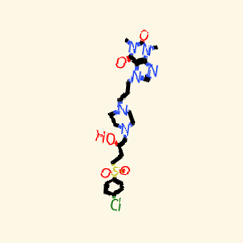 Cn1c(=O)c2c(ncn2CCCN2CCN(CC(O)CCS(=O)(=O)c3ccc(Cl)cc3)CC2)n(C)c1=O